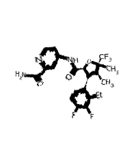 CCc1c([C@@H]2[C@@H](C(=O)Nc3ccnc(C(N)=O)c3)O[C@](C)(C(F)(F)F)[C@H]2C)ccc(F)c1F